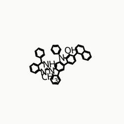 CN1c2ccccc2C(c2ccccc2)NC1n1c2ccccc2c2cc3c4ccc(-c5cccc6ccccc56)c(O)c4n(-c4ccccc4)c3cc21